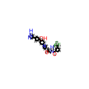 O=C(CNC(=O)c1cccc(C(F)(F)F)c1)[AsH]C1CCN(C2CCC(O)(c3ccc(-c4cn[nH]c4)cc3)CC2)C1